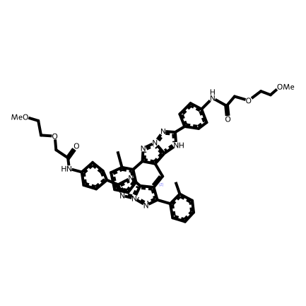 COCCOCC(=O)Nc1ccc(-c2nc3/c(=C\c4c(-c5ccccc5C)nn5nc(-c6ccc(NC(=O)COCCOC)cc6)[nH]c45)c(-c4ccccc4C)nn3n2)cc1